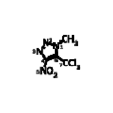 Cn1nnc([N+](=O)[O-])c1C(Cl)(Cl)Cl